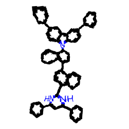 C1=C(c2ccccc2)NC(c2ccc(-c3ccc(-n4c5ccc(-c6ccccc6)cc5c5cc(-c6ccccc6)ccc54)c4ccccc34)c3ccccc23)NC1c1ccccc1